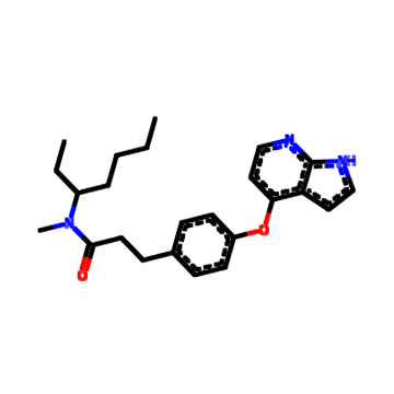 CCCCC(CC)N(C)C(=O)CCc1ccc(Oc2ccnc3[nH]ccc23)cc1